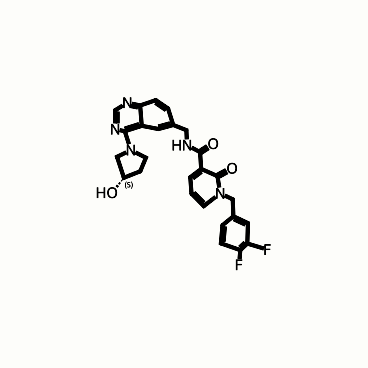 O=C(NCc1ccc2ncnc(N3CC[C@H](O)C3)c2c1)c1cccn(Cc2ccc(F)c(F)c2)c1=O